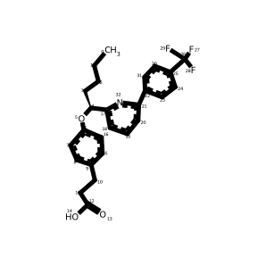 CCCC[C@H](Oc1ccc(CCC(=O)O)cc1)c1cccc(-c2ccc(C(F)(F)F)cc2)n1